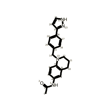 CC(=O)Nc1ccc2c(c1)CCCN2Cc1ccc(-c2cc[nH]n2)cc1